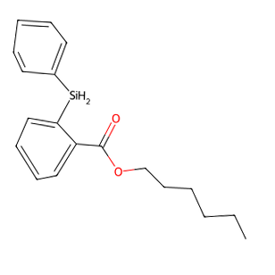 CCCCCCOC(=O)c1ccccc1[SiH2]c1ccccc1